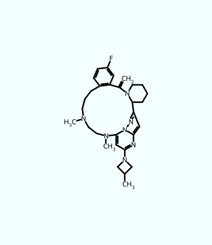 C=C1c2cc(F)ccc2CCCN(C)CCN(C)c2cc(N3CC(C)C3)nc3cc(nn23)C2CCCCN12